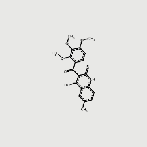 COc1ccc(C(=O)c2c(O)c3cc(C)ccc3[nH]c2=O)c(OC)c1OC